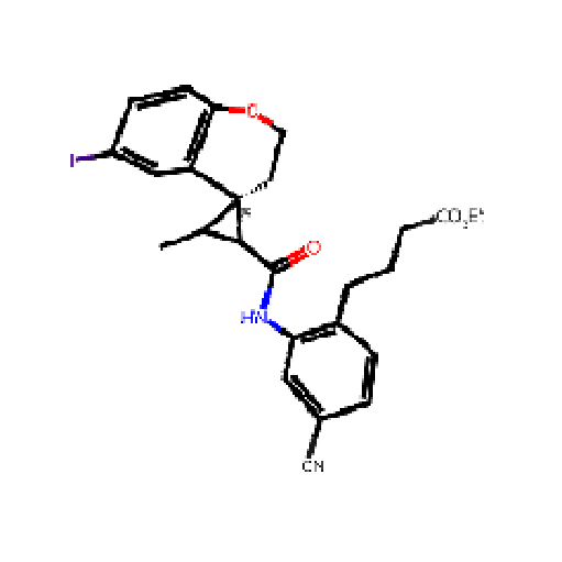 CCOC(=O)CCCc1ccc(C#N)cc1NC(=O)C1C(C)[C@]12CCOc1ccc(I)cc12